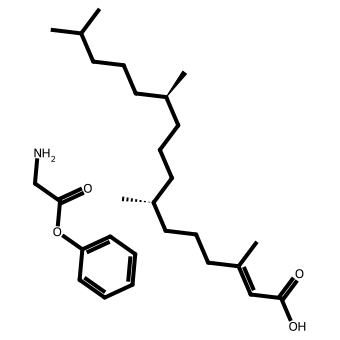 C/C(=C\C(=O)O)CCC[C@H](C)CCC[C@H](C)CCCC(C)C.NCC(=O)Oc1ccccc1